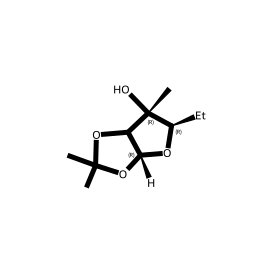 CC[C@H]1O[C@@H]2OC(C)(C)OC2[C@]1(C)O